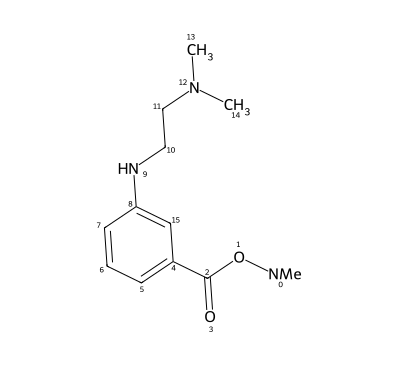 CNOC(=O)c1cccc(NCCN(C)C)c1